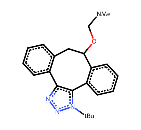 CNCOC1Cc2ccccc2-c2nnn(C(C)(C)C)c2-c2ccccc21